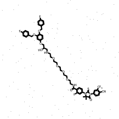 CC1(C)C(=O)N(c2ccc(C#N)c(C(F)(F)F)c2)C(=S)N1c1ccc(C(=O)NCCOCCOCCOCCOCCNCC(O)COc2ccc(OCc3ccc(F)cc3)c(OCc3ccc(F)cc3)c2)c(F)c1